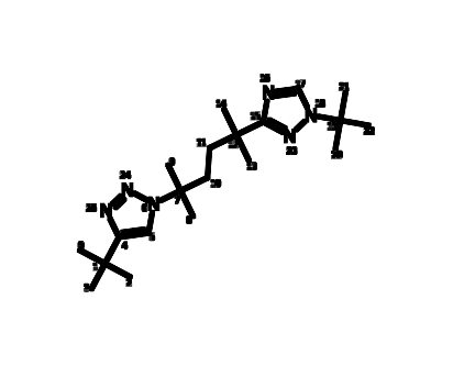 CC(C)(C)c1cn(C(C)(C)CCC(C)(C)c2ncn(C(C)(C)C)n2)nn1